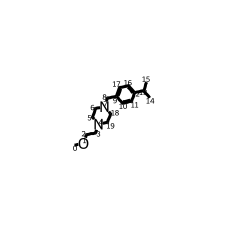 COCCN1CCN(Cc2ccc(C(C)C)cc2)CC1